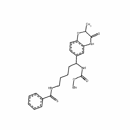 CC1Oc2ccc(C(CCCCNC(=S)c3ccccc3)NC(=O)OC(C)(C)C)cc2NC1=S